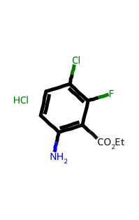 CCOC(=O)c1c(N)ccc(Cl)c1F.Cl